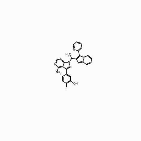 CC(c1cc2ccccn2c1-c1ccccn1)n1nc(-c2ccc(F)c(O)c2)c2c(N)ncnc21